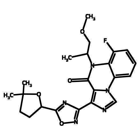 COCC(C)n1c(=O)c2c(-c3noc(C4CCC(C)(C)O4)n3)ncn2c2cccc(F)c21